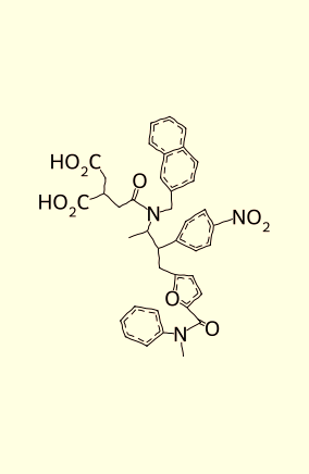 CC(C(Cc1ccc(C(=O)N(C)c2ccccc2)o1)c1ccc([N+](=O)[O-])cc1)N(Cc1ccc2ccccc2c1)C(=O)CC(CC(=O)O)C(=O)O